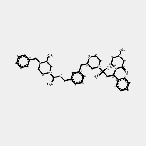 CC1CN(C(C)SCc2cccc(CC3CN(C(C)(C)CC(c4ccccc4)N4CCN(C(C)(C)C)CC4=O)CCO3)c2)CCN1Cc1ccccc1